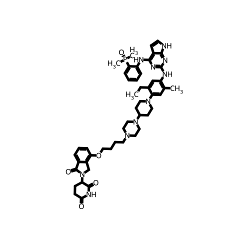 CCc1cc(Nc2nc(Nc3ccccc3P(C)(C)=O)c3cc[nH]c3n2)c(C)cc1N1CCC(N2CCN(CCCCOc3cccc4c3CN(C3CCC(=O)NC3=O)C4=O)CC2)CC1